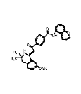 COc1ccc2c(c1)C(=CC(=O)c1ccc(C(=O)Nc3cccc4ncccc34)cc1)NC(C)(C)C2